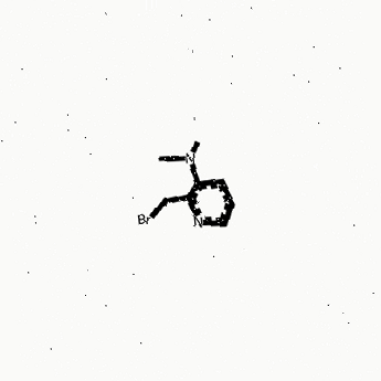 CN(C)c1cccnc1CBr